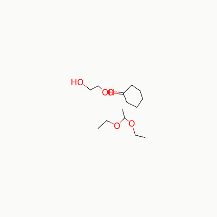 CCOC(C)OCC.O=C1CCCCC1.OCCO